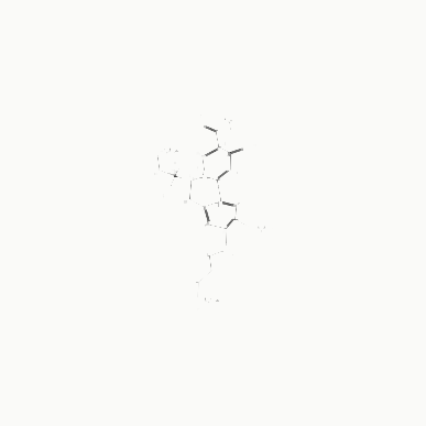 COCCCOc1cc2c(cc1OC)-c1cc(=O)c(C(=O)N=O)cn1[C@H](C(C)(C)COC)C2